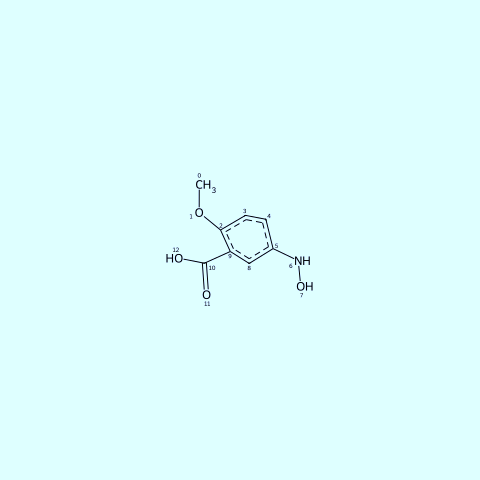 COc1ccc(NO)cc1C(=O)O